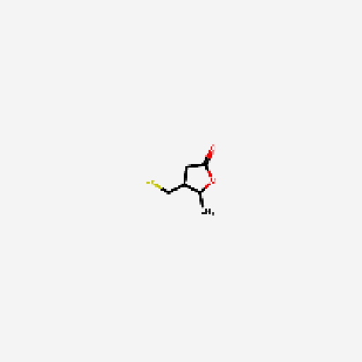 CC1OC(=O)CC1CS